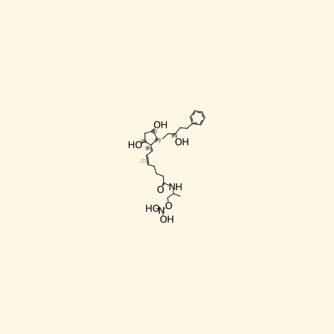 CC(CON(O)O)NC(=O)CCC/C=C\C[C@@H]1[C@@H](CC[C@@H](O)CCc2ccccc2)[C@H](O)C[C@@H]1O